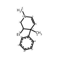 CCC1CN(C)C=CC1(C)c1ccccc1